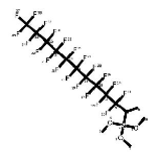 CO[Si](OC)(OC)C(C)C(F)(F)C(F)(F)C(F)(F)C(F)(F)C(F)(F)C(F)(F)C(F)(F)C(F)(F)C(F)(F)C(F)(F)F